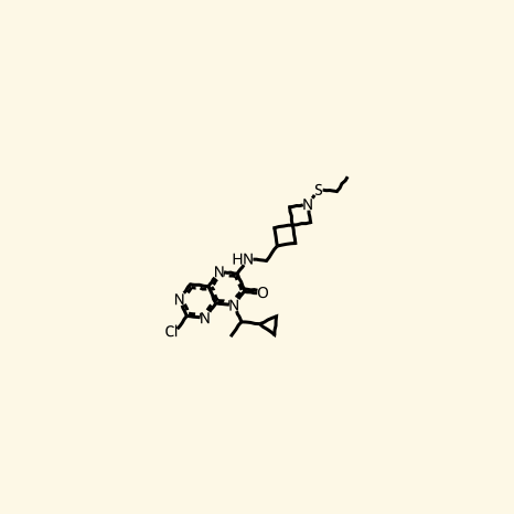 CCSN1CC2(CC(CNc3nc4cnc(Cl)nc4n(C(C)C4CC4)c3=O)C2)C1